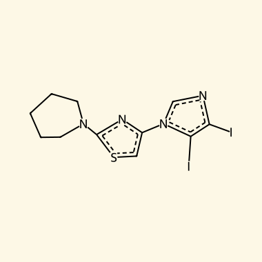 Ic1ncn(-c2csc(N3CCCCC3)n2)c1I